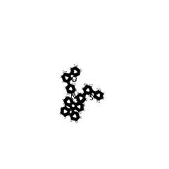 c1ccc(C2(c3ccccc3)c3ccccc3-c3c(N(c4ccc(-c5cccc6c5oc5ccccc56)cc4)c4cccc(-c5cccc6c5sc5ccccc56)c4)cccc32)cc1